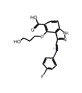 O=C(O)c1ccc2[nH]nc(/C=C/c3ccc(F)cc3)c2c1OCCCO